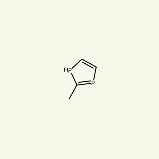 Cc1pcc[pH]1